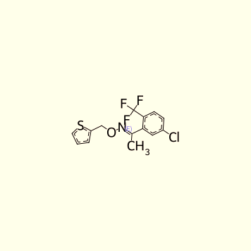 C/C(=N\OCc1cccs1)c1cc(Cl)ccc1C(F)(F)F